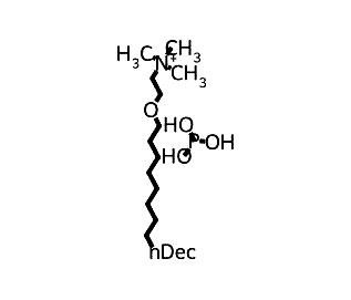 CCCCCCCCCCCCCCCCCCOCC[N+](C)(C)C.OP(O)O